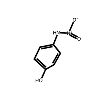 O=[N+]([O-])Nc1ccc(O)cc1